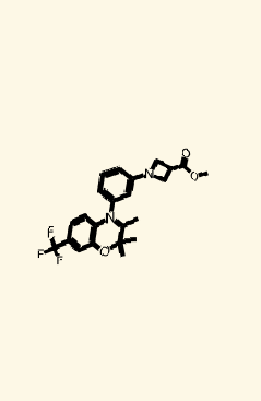 COC(=O)C1CN(c2cccc(N3c4ccc(C(F)(F)F)cc4OC(C)(C)C3C)c2)C1